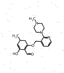 CC1C=C(O)C(C=O)=C(OCc2cccnc2N2CCN(C)CC2)C1